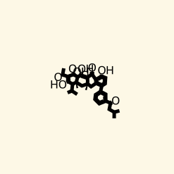 CC(=O)C1=C(O)C(C(C)C)[C@@]2(C)C[C@@]3(C)Cc4c(-c5cccc(C(=O)CC(C)C)c5)ccc(O)c4C(=O)C3=C(O)[C@@]2(O)C1=O